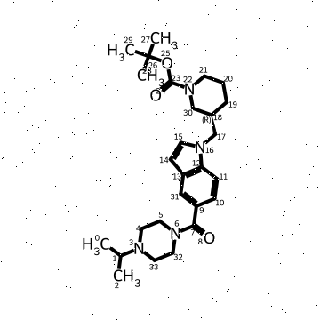 CC(C)N1CCN(C(=O)c2ccc3c(ccn3C[C@@H]3CCCN(C(=O)OC(C)(C)C)C3)c2)CC1